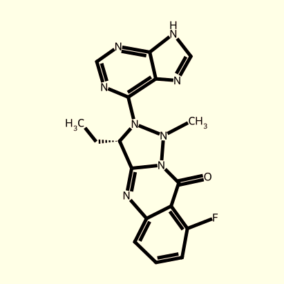 CC[C@H]1c2nc3cccc(F)c3c(=O)n2N(C)N1c1ncnc2[nH]cnc12